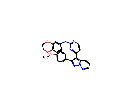 COc1ccc(-c2nn3ncccc3c2-c2ccnc(Nc3ccc4c(c3)OCCO4)n2)cc1